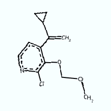 C=C(c1ccnc(Cl)c1OCOC)C1CC1